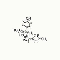 Cc1ccc(-c2csc(N[C@H](C(=O)O)C(C)c3ccc(O)cc3)n2)cc1